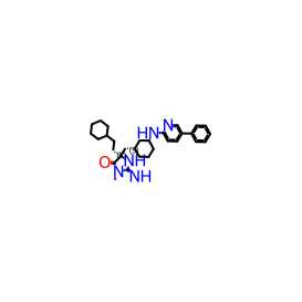 CN1C(=N)N[C@](CCC2CCCCC2)(C[C@H]2CCCC(Nc3ccc(-c4ccccc4)cn3)C2)C1=O